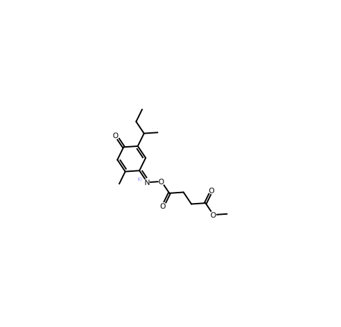 CCC(C)C1=C/C(=N\OC(=O)CCC(=O)OC)C(C)=CC1=O